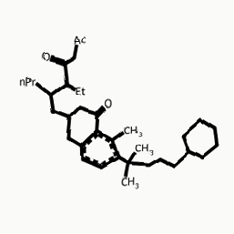 CCCC(CC1CC(=O)c2c(ccc(C(C)(C)CCCC3CCCCC3)c2C)C1)C(CC)C(=O)CC(C)=O